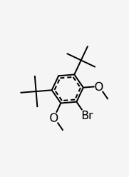 COc1c(C(C)(C)C)cc(C(C)(C)C)c(OC)c1Br